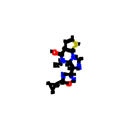 CCn1c(=O)c2ccsc2n2cnc(-c3noc(C4CC4)n3)c12